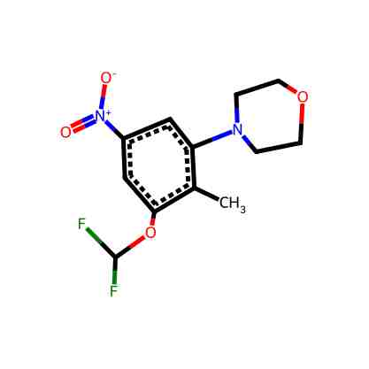 Cc1c(OC(F)F)cc([N+](=O)[O-])cc1N1CCOCC1